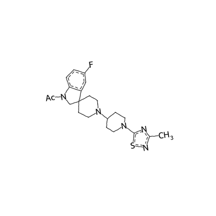 CC(=O)N1CC2(CCN(C3CCN(c4nc(C)ns4)CC3)CC2)c2cc(F)ccc21